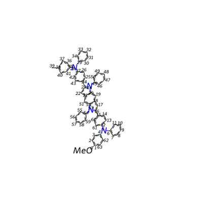 COc1ccc(N(c2ccccc2)c2ccc(-c3cc4cc5c(cc(-c6ccc(N(c7ccccc7)c7ccc(C)cc7)cc6)n5-c5ccccc5)cc4n3-c3ccccc3)cc2)cc1